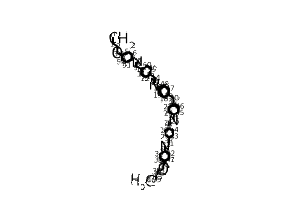 C=CCOc1ccc(N=Cc2ccc(C=Nc3ccc(Cc4ccc(N=Cc5ccc(C=Nc6ccc(OCC=C)cc6)cc5)cc4)cc3)cc2)cc1